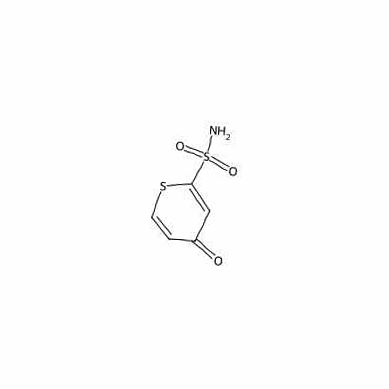 NS(=O)(=O)c1cc(=O)ccs1